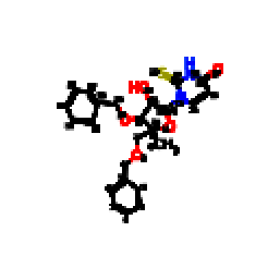 C[C@]1(COCc2ccccc2)O[C@@H](n2ccc(=O)[nH]c2=S)C(O)C1OCc1ccccc1